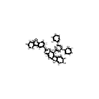 c1ccc(-c2nc(-c3ccccc3)nc(-c3c4nc(-c5ccc6oc7ccccc7c6c5)sc4cc4oc5ccccc5c34)n2)cc1